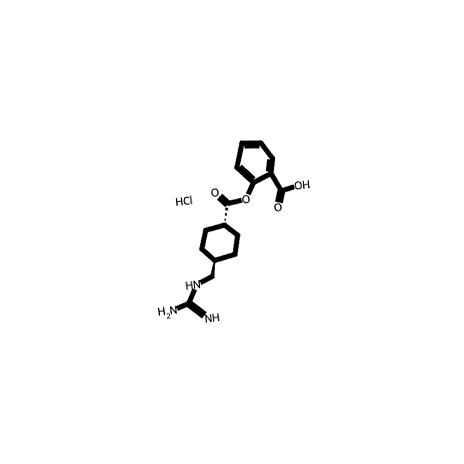 Cl.N=C(N)NC[C@H]1CC[C@H](C(=O)Oc2ccccc2C(=O)O)CC1